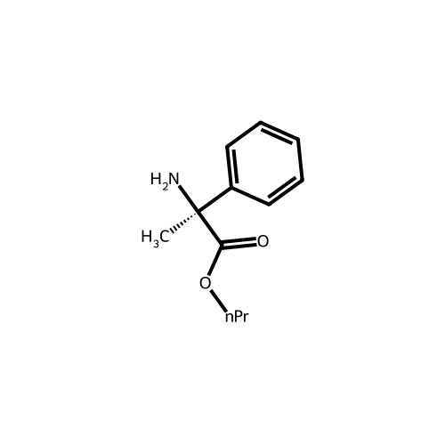 [CH2]CCOC(=O)[C@@](C)(N)c1ccccc1